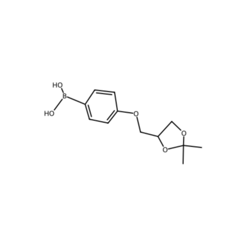 CC1(C)OCC(COc2ccc(B(O)O)cc2)O1